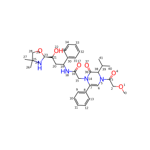 COCC(=O)N1C=C(c2ccccc2)N(CC(=O)NC(CC(O)[C@H]2NC(C)(C)CO2)c2ccccc2)C(=O)C1C(C)C